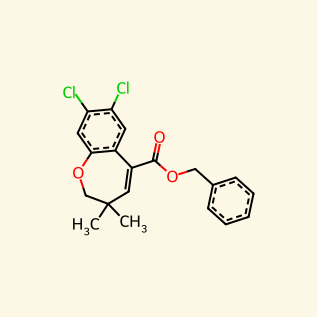 CC1(C)C=C(C(=O)OCc2ccccc2)c2cc(Cl)c(Cl)cc2OC1